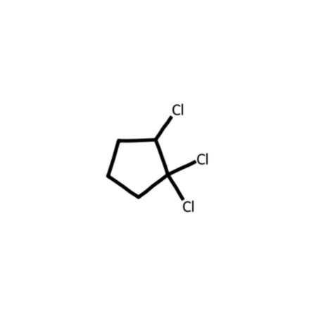 ClC1CCCC1(Cl)Cl